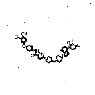 N#Cc1ccc(O[C@H]2CC[C@H](NC(=O)c3ccc(N4CCC(CN5CCC(n6ccc7c(N8CCC(=O)NC8=O)cccc76)CC5)CC4)nn3)CC2)cc1Cl